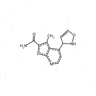 Cc1c(C(N)=O)sc2nccc(C3C=CON3)c12